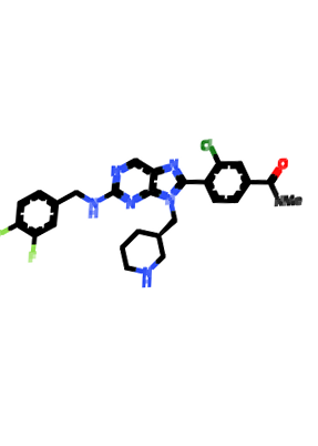 CNC(=O)c1ccc(-c2nc3cnc(NCc4ccc(F)c(F)c4)nc3n2C[C@@H]2CCCNC2)c(Cl)c1